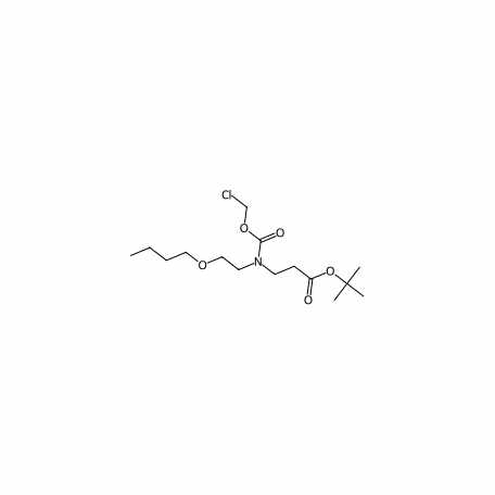 CCCCOCCN(CCC(=O)OC(C)(C)C)C(=O)OCCl